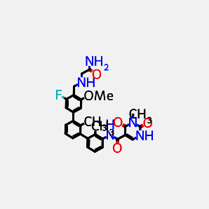 COc1cc(-c2cccc(-c3cccc(NC(=O)c4c[nH]c(=O)n(C)c4=O)c3C)c2C)cc(F)c1CNCC(N)=O